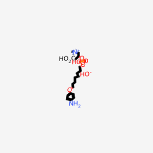 C[N+](C)(C)CC(CC(=O)O)OP(=O)(O)OCCCCCCCCOc1ccc(N)cc1.[OH-]